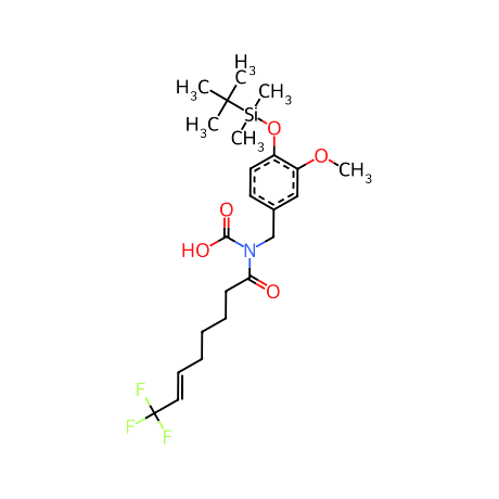 COc1cc(CN(C(=O)O)C(=O)CCCCC=CC(F)(F)F)ccc1O[Si](C)(C)C(C)(C)C